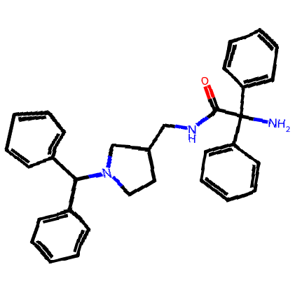 NC(C(=O)NCC1CCN(C(c2ccccc2)c2ccccc2)C1)(c1ccccc1)c1ccccc1